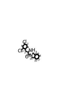 NC(Cc1ccc(Cl)cc1Cl)C(=O)N1Cc2ccccc2C1